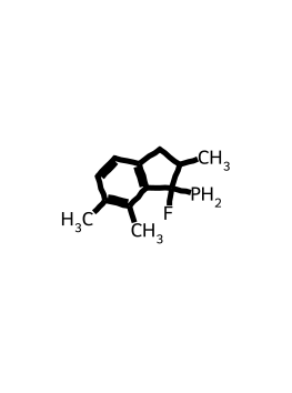 Cc1ccc2c(c1C)C(F)(P)C(C)C2